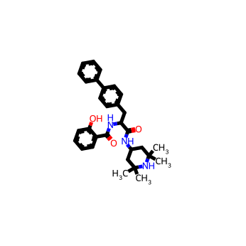 CC1(C)CC(NC(=O)C(Cc2ccc(-c3ccccc3)cc2)NC(=O)c2ccccc2O)CC(C)(C)N1